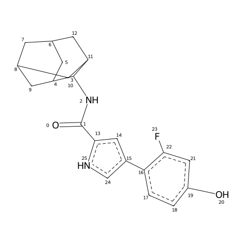 O=C(NC1C2CC3CC(C2)CC1C3)c1cc(-c2ccc(O)cc2F)c[nH]1